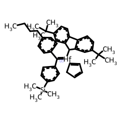 CCCCc1ccc(/[C](c2ccc([Si](C)(C)C)cc2)=[Hf](/[C]2=CC=CC2)[CH]2c3cc(C(C)(C)C)ccc3-c3ccc(C(C)(C)C)cc32)cc1